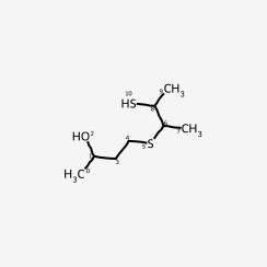 CC(O)CCSC(C)C(C)S